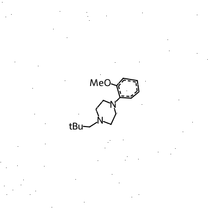 [CH2]C(C)(C)CN1CCN(c2ccccc2OC)CC1